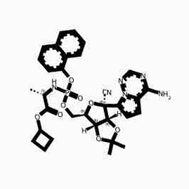 C[C@H](NP(=O)(OC[C@H]1O[C@@](C#N)(c2ccc3c(N)ncnn23)[C@@H]2OC(C)(C)O[C@@H]21)Oc1cccc2ccccc12)C(=O)OC1CCC1